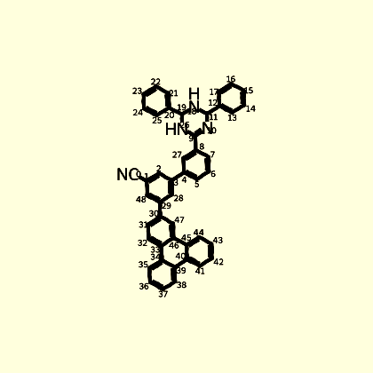 N#Cc1cc(-c2cccc(C3=NC(c4ccccc4)NC(c4ccccc4)N3)c2)cc(-c2ccc3c4ccccc4c4ccccc4c3c2)c1